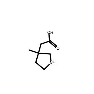 CC1(CC(=O)O)CCNC1